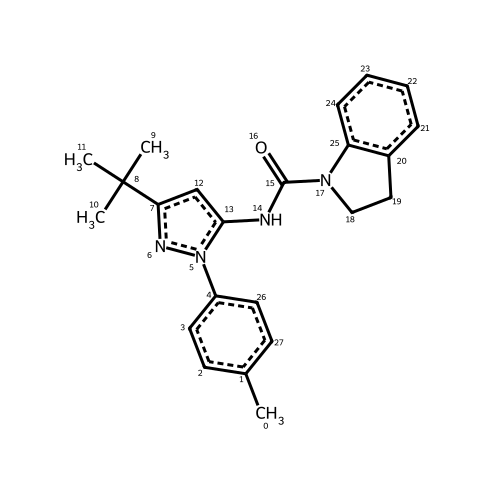 Cc1ccc(-n2nc(C(C)(C)C)cc2NC(=O)N2CCc3ccccc32)cc1